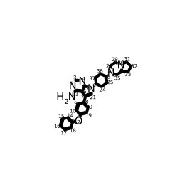 Nc1ncnc2c1c(-c1ccc(Oc3ccccc3)cc1)cn2[C@H]1CC[C@H](N2CCN3CCCC3C2)CC1